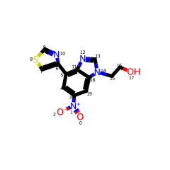 O=[N+]([O-])c1cc(-c2cscn2)c2ncn(CCO)c2c1